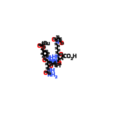 CC(C)[C@H](NC(=O)[C@H](CCC(=O)O)NC(=O)CCCCCN1C(=O)C=CC1=O)C(=O)N[C@@H](CCCNC(N)=O)C(=O)Nc1ccc(COC(=O)C(C)(C)C)cc1